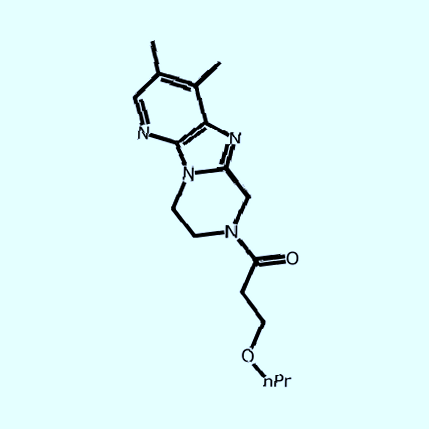 CCCOCCC(=O)N1CCn2c(nc3c(C)c(C)cnc32)C1